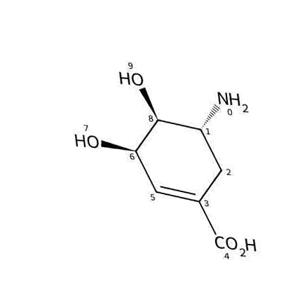 N[C@@H]1CC(C(=O)O)=C[C@@H](O)[C@H]1O